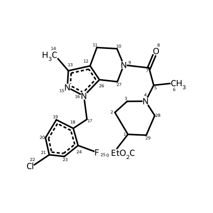 CCOC(=O)C1CCN(C(C)C(=O)N2CCc3c(C)nn(Cc4ccc(Cl)cc4F)c3C2)CC1